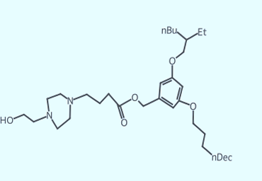 CCCCCCCCCCCCCOc1cc(COC(=O)CCCN2CCN(CCO)CC2)cc(OCC(CC)CCCC)c1